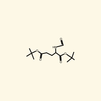 CC(C)(C)OC(=O)CCC(NC=O)C(=O)OC(C)(C)C